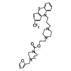 O=C(OCCN1CCN(CCCN2c3ccccc3Sc3ccc(C(F)(F)F)cc32)CC1)N1CCN(Cc2ccco2)CC1